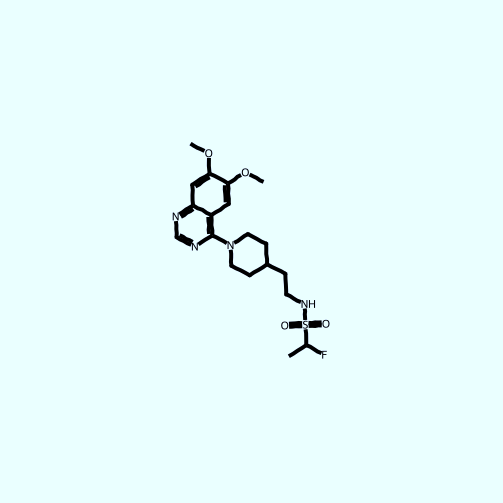 COc1cc2ncnc(N3CCC(CCNS(=O)(=O)C(C)F)CC3)c2cc1OC